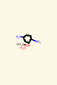 Nc1ccc(N)cc1.O.O=S(=O)(O)O